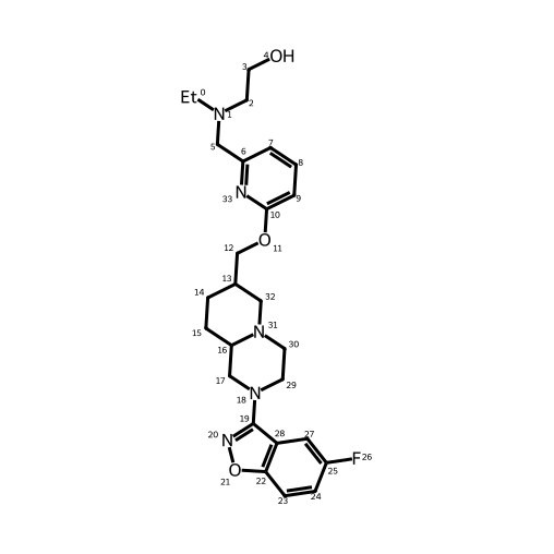 CCN(CCO)Cc1cccc(OCC2CCC3CN(c4noc5ccc(F)cc45)CCN3C2)n1